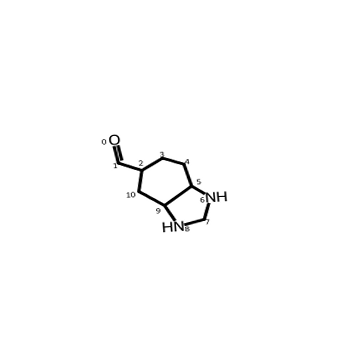 O=CC1CCC2NCNC2C1